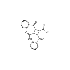 O=C(O)C1C(C(=O)c2ccccc2)C(C(=O)O)C1C(=O)c1ccccc1